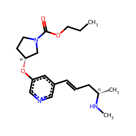 CCCOC(=O)N1CC[C@@H](Oc2cncc(C=CC[C@H](C)NC)c2)C1